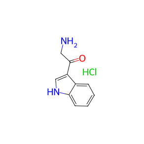 Cl.NCC(=O)c1c[nH]c2ccccc12